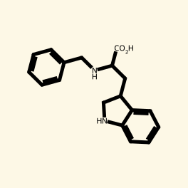 O=C(O)C(CC1CNc2ccccc21)NCc1ccccc1